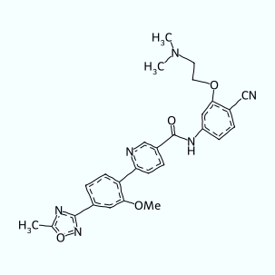 COc1cc(-c2noc(C)n2)ccc1-c1ccc(C(=O)Nc2ccc(C#N)c(OCCN(C)C)c2)cn1